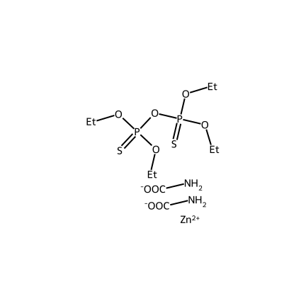 CCOP(=S)(OCC)OP(=S)(OCC)OCC.NC(=O)[O-].NC(=O)[O-].[Zn+2]